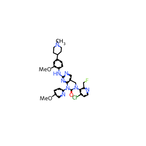 COc1ccc(N2C(=O)N(c3c(Cl)ccnc3CF)Cc3cnc(Nc4ccc(C5CCN(C)CC5)cc4OC)nc32)nc1